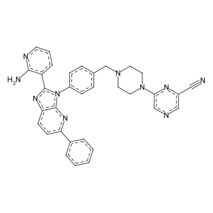 N#Cc1cncc(N2CCN(Cc3ccc(-n4c(-c5cccnc5N)nc5ccc(-c6ccccc6)nc54)cc3)CC2)n1